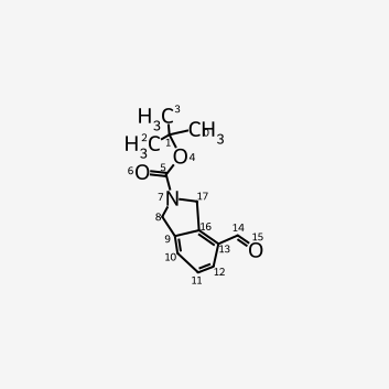 CC(C)(C)OC(=O)N1Cc2cccc(C=O)c2C1